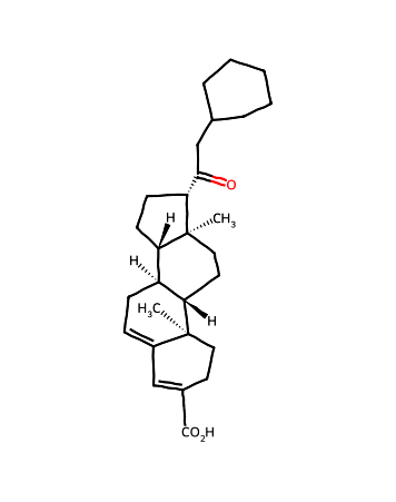 C[C@]12CC[C@H]3[C@@H](CC=C4C=C(C(=O)O)CC[C@@]43C)[C@@H]1CC[C@@H]2C(=O)CC1CCCCC1